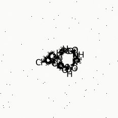 O=C1N[C@@H]2CCN(C2)C(=O)NS(=O)(=O)c2ccc3c(c2)N(C[C@@H]2CC[C@H]2CO1)CC1(CCCc2cc(Cl)ccc21)CO3